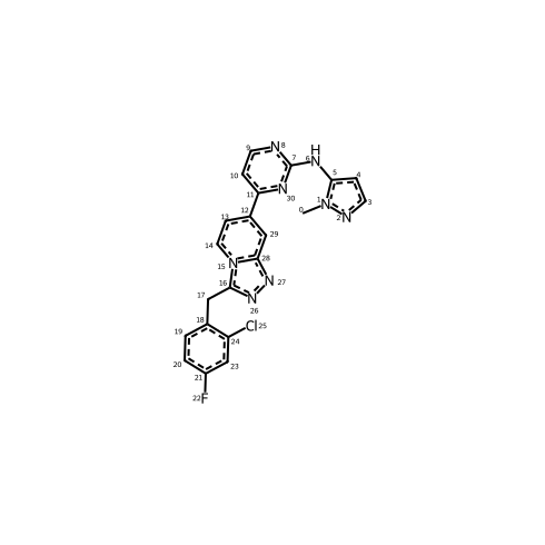 Cn1nccc1Nc1nccc(-c2ccn3c(Cc4ccc(F)cc4Cl)nnc3c2)n1